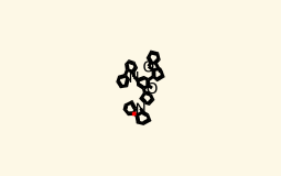 c1ccc2c(c1)oc1c(-c3cc(-n4c5ccccc5c5ccccc54)cc4c3oc3ccc(-n5c6ccccc6c6ccccc65)cc34)cccc12